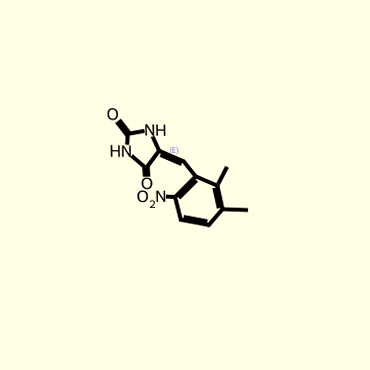 Cc1ccc([N+](=O)[O-])c(/C=C2/NC(=O)NC2=O)c1C